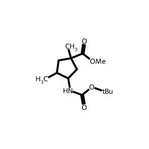 COC(=O)C1(C)CC(C)C(NC(=O)OC(C)(C)C)C1